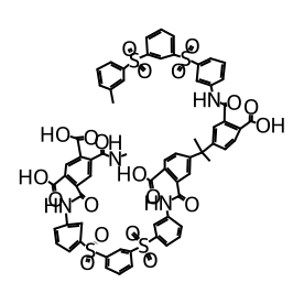 CNC(=O)c1cc(C(=O)Nc2cccc(S(=O)(=O)c3cccc(S(=O)(=O)c4cccc(NC(=O)c5cc(C(C)(C)c6ccc(C(=O)O)c(C(=O)Nc7cccc(S(=O)(=O)c8cccc(S(=O)(=O)c9cccc(C)c9)c8)c7)c6)ccc5C(=O)O)c4)c3)c2)c(C(=O)O)cc1C(=O)O